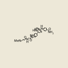 CCCNc1nc(Nc2ccc(C(N)=O)cc2)ncc1-c1ccc(CN(N)C(=O)CNC(=O)/C=C/CNC)cc1